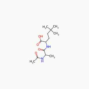 CC(=O)NC(C)C(=O)NC(CCC(C)(C)C)C(=O)O